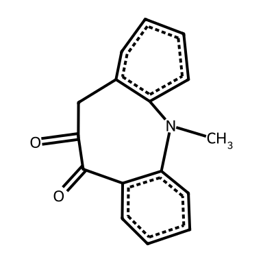 CN1c2ccccc2CC(=O)C(=O)c2ccccc21